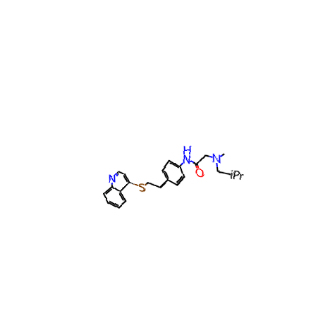 CC(C)CN(C)CC(=O)Nc1ccc(CCSc2ccnc3ccccc23)cc1